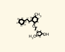 Cc1ccc(OCC[C@@H]2C[C@@H](O)CN2C)c(CCc2ccccc2)c1